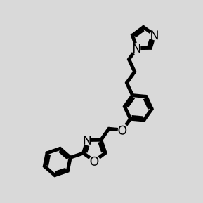 c1ccc(-c2nc(COc3cccc(CCCn4ccnc4)c3)co2)cc1